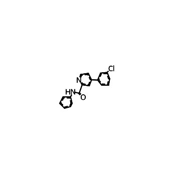 O=C(Nc1ccccc1)c1cc(-c2cccc(Cl)c2)ccn1